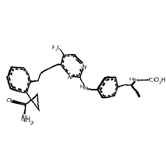 CC(NC(=O)O)c1ccc(Nc2ncc(C(F)(F)F)c(CCc3ccccc3C3(C(N)=O)CC3)n2)cc1